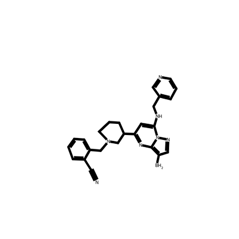 Bc1cnn2c(NCc3cccnc3)cc(C3CCCN(Cc4ccccc4C#N)C3)nc12